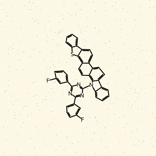 Fc1cccc(-c2nc(-c3cccc(F)c3)nc(-n3c4ccccc4c4ccc5c6ccc7c8ccccc8sc7c6ccc5c43)n2)c1